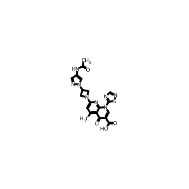 CC(=O)Nc1cnn(C2CN(c3cc(C)c4c(=O)c(C(=O)O)cn(-c5ncns5)c4n3)C2)c1